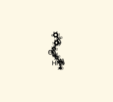 CN(c1ccccc1)c1ccc(C2CN(C(=O)N3CC4(CC(c5nnc(C6CC6)[nH]5)C4)C3)C2)cn1